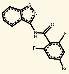 O=C(Nc1nsc2ccccc12)c1c(F)cc(Br)cc1F